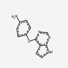 Nc1ccc(Oc2ncnc3[nH]ccc23)cc1